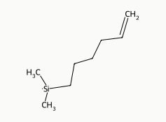 C=CCCCC[Si](C)C